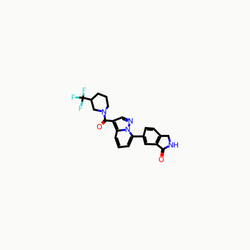 O=C1NCc2ccc(-c3cccc4c(C(=O)N5CCCC(C(F)(F)F)C5)cnn34)cc21